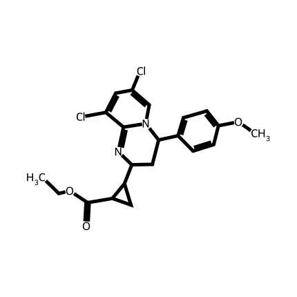 CCOC(=O)C1CC1C1CC(c2ccc(OC)cc2)N2C=C(Cl)C=C(Cl)C2=N1